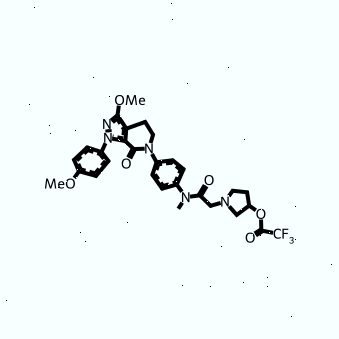 COc1ccc(-n2nc(OC)c3c2C(=O)N(c2ccc(N(C)C(=O)CN4CCC(OC(=O)C(F)(F)F)C4)cc2)CC3)cc1